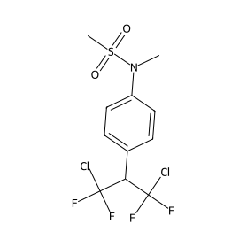 CN(c1ccc(C(C(F)(F)Cl)C(F)(F)Cl)cc1)S(C)(=O)=O